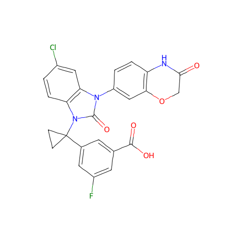 O=C1COc2cc(-n3c(=O)n(C4(c5cc(F)cc(C(=O)O)c5)CC4)c4ccc(Cl)cc43)ccc2N1